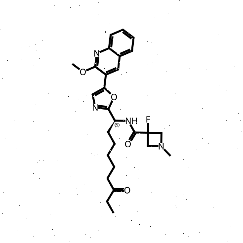 CCC(=O)CCCCC[C@H](NC(=O)C1(F)CN(C)C1)c1ncc(-c2cc3ccccc3nc2OC)o1